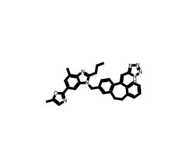 CCCc1nc2c(C)cc(-c3ncc(C)o3)cc2n1Cc1ccc2c(c1)CCc1ccccc1/C2=C\c1nnn[nH]1